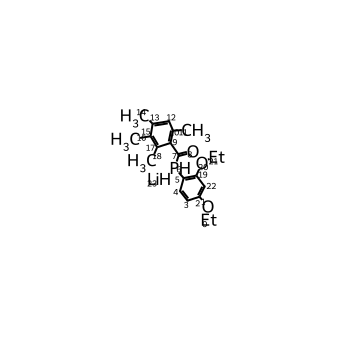 CCOc1ccc(PC(=O)c2c(C)cc(C)c(C)c2C)c(OCC)c1.[LiH]